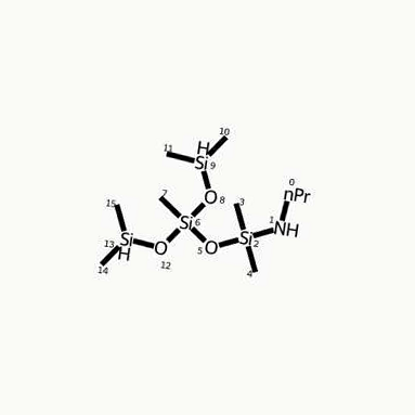 CCCN[Si](C)(C)O[Si](C)(O[SiH](C)C)O[SiH](C)C